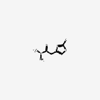 CN(N)C(=O)Cc1csc(Cl)n1